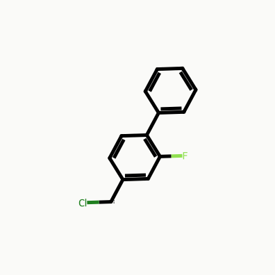 Fc1cc([C]Cl)ccc1-c1ccccc1